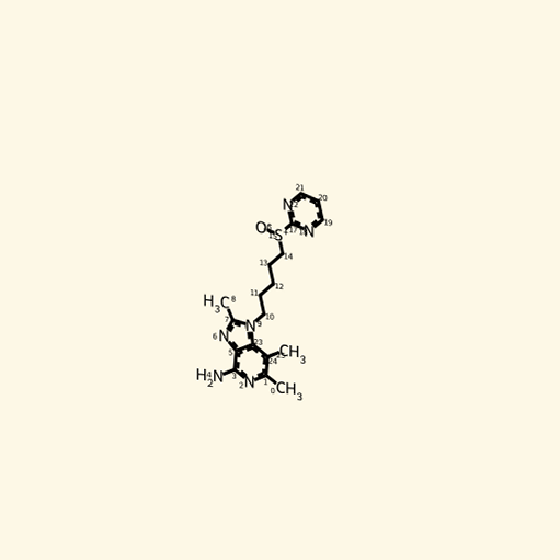 Cc1nc(N)c2nc(C)n(CCCCC[S+]([O-])c3ncccn3)c2c1C